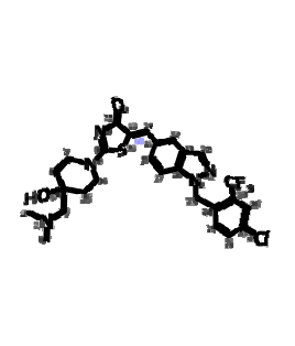 CN(C)CC1(O)CCN(C2=NC(=O)/C(=C/c3ccc4c(cnn4Cc4ccc(Cl)cc4C(F)(F)F)c3)S2)CC1